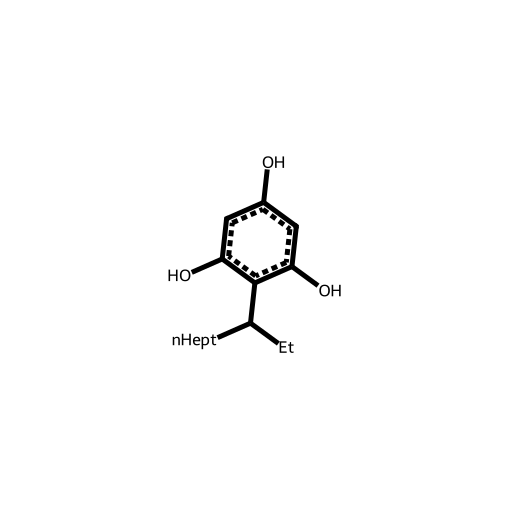 CCCCCCCC(CC)c1c(O)cc(O)cc1O